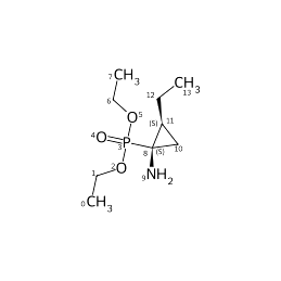 CCOP(=O)(OCC)[C@@]1(N)C[C@@H]1CC